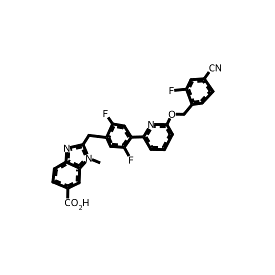 Cn1c(Cc2cc(F)c(-c3cccc(OCc4ccc(C#N)cc4F)n3)cc2F)nc2ccc(C(=O)O)cc21